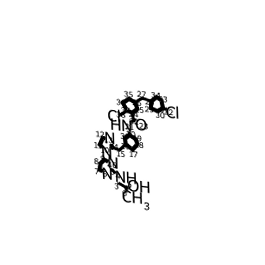 CC(O)CNc1nccc(-n2ccnc2Cc2cccc(NC(=O)c3cc(Cc4ccc(Cl)cc4)ccc3Cl)c2)n1